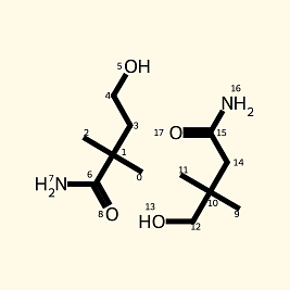 CC(C)(CCO)C(N)=O.CC(C)(CO)CC(N)=O